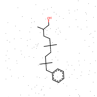 CC(CO)CCC(C)(C)CCC(C)(C)Cc1ccccc1